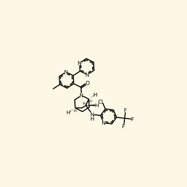 Cc1cnc(-c2ncccn2)c(C(=O)N2C[C@@H]3CC[C@H]2[C@H](Nc2ncc(C(F)(F)F)cc2Cl)C3)c1